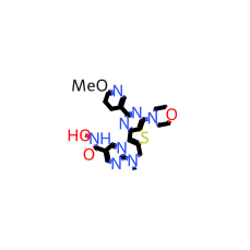 COC1=NC=C(c2nc(N3CCOCC3)c3sc(CN(C)c4ncc(C(=O)NO)cn4)cc3n2)CC1